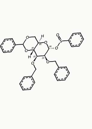 O=S(O[C@H]1O[C@@H]2COC(c3ccccc3)O[C@H]2[C@H](OCc2ccccc2)[C@@H]1OCc1ccccc1)c1ccccc1